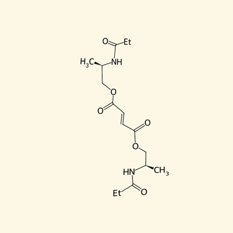 CCC(=O)N[C@H](C)COC(=O)/C=C/C(=O)OC[C@@H](C)NC(=O)CC